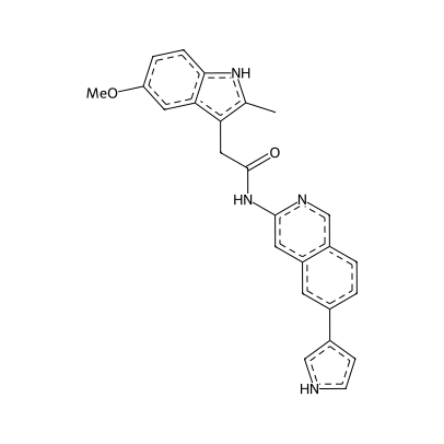 COc1ccc2[nH]c(C)c(CC(=O)Nc3cc4cc(-c5cc[nH]c5)ccc4cn3)c2c1